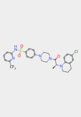 C[C@@H](C(=O)N1CCN(c2ccc(S(=O)(=O)Nc3cccc(C(F)(F)F)n3)cc2)CC1)N1CCCc2cc(Cl)ccc21